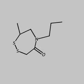 CCCN1CC(C)SSCC1=O